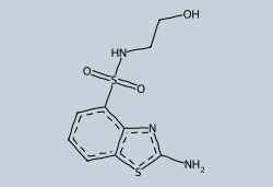 Nc1nc2c(S(=O)(=O)NCCO)cccc2s1